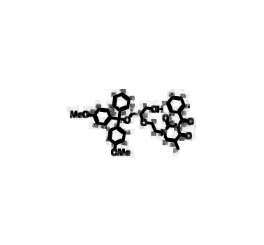 COc1ccc(C(OC[C@H](CO)OCCn2cc(C)c(=O)n(C(=O)c3ccccc3)c2=O)(c2ccccc2)c2ccc(OC)cc2)cc1